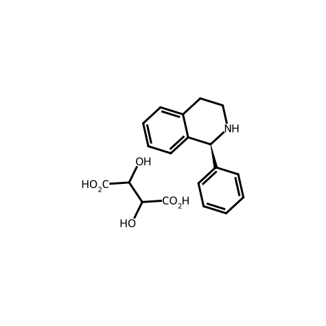 O=C(O)C(O)C(O)C(=O)O.c1ccc([C@@H]2NCCc3ccccc32)cc1